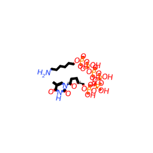 Cc1cn([C@H]2CC[C@@H](COP(=O)(O)OP(=O)(O)OP(=O)(O)OP(=O)(O)OP(=O)(O)OP(=O)(O)OCCCCCCN)O2)c(=O)[nH]c1=O